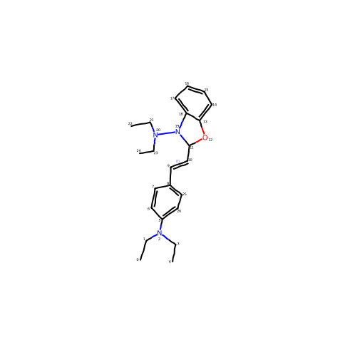 CCN(CC)c1ccc(/C=C/C2Oc3ccccc3N2N(CC)CC)cc1